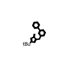 C=C1C=C(C(C)(C)C)C=C1Cc1cccc(-c2ccccc2)c1